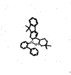 CC(C)N(c1ccccc1-c1ccccc1)c1cc2c(cc1C1CCC(C)(C)CC1)-c1ccccc1C2(C)C